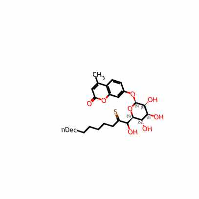 CCCCCCCCCCCCCCCC(=S)C(O)[C@H]1O[C@@H](Oc2ccc3c(C)cc(=O)oc3c2)[C@H](O)[C@@H](O)[C@@H]1O